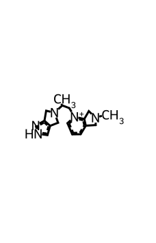 CC(C[n+]1cccc2c1CN(C)C2)N1Cc2c[nH]nc2C1